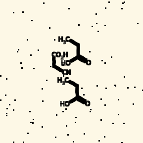 CCC(=O)O.CCC(=O)O.N#CCC(=O)O